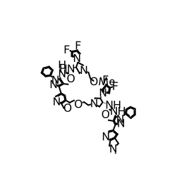 COCCN1C[C@@H](n2cc(F)c(F)c2)[C@H](NC(=O)Nc2c(C)c(-c3cnc4c(c3)C(COCCN3C[C@@H](n5cc(F)c(F)c5)[C@H](NC(=O)Nc5c(C)c(-c6cnc7c(c6)CN(C)C7)nn5-c5ccccc5)C3)OC4)nn2-c2ccccc2)C1